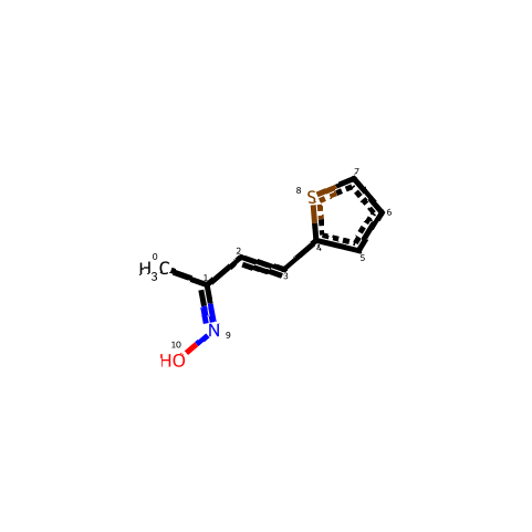 CC(C=Cc1cccs1)=NO